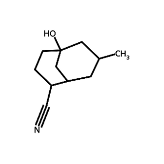 CC1CC2CC(O)(CCC2C#N)C1